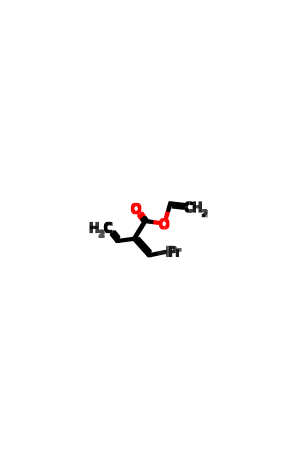 C=COC(=O)C(C=C)=CC(C)C